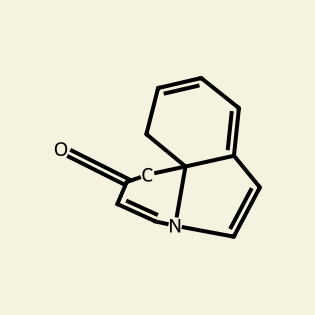 O=C1C=CN2C=CC3=CC=CCC32C1